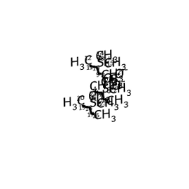 CCC(CC)[Si+](C)C.CCC(CC)[Si+](C)C.CCC(CC)[Si+](C)C.[O-]B([O-])[O-]